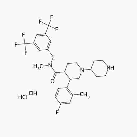 Cc1cc(F)ccc1C1CN(C2CCNCC2)CCC1C(=O)N(C)Cc1cc(C(F)(F)F)cc(C(F)(F)F)c1.Cl.Cl